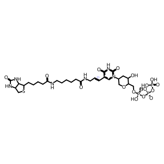 O=C(CCCCCNC(=O)CCCCC1SCC2NC(=O)NC21)NC/C=C/c1cn(C2COC(COP(=O)(O)OP(=O)(O)OP(=O)(O)O)C(O)C2)c(=O)[nH]c1=O